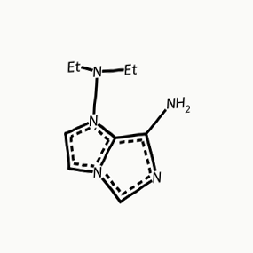 CCN(CC)n1ccn2cnc(N)c12